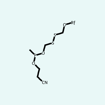 CP(OCCC#N)OCSSC[O][Rf]